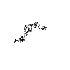 CC(C)CCOC(=O)[C@@H]1C[C@H]2C[C@@](F)(CCc3nn[nH]n3)CC[C@H]2CN1